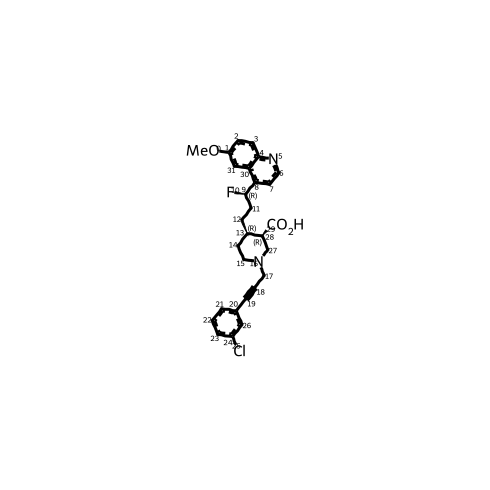 COc1ccc2nccc([C@H](F)CC[C@@H]3CCN(CC#Cc4cccc(Cl)c4)C[C@@H]3C(=O)O)c2c1